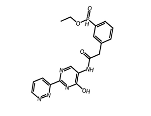 CCO[PH](=O)c1cccc(CC(=O)Nc2cnc(-c3cccnn3)nc2O)c1